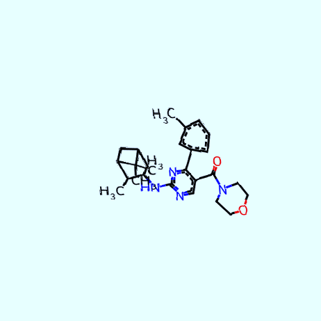 Cc1cccc(-c2nc(NC3CC4CC(C3C)C4(C)C)ncc2C(=O)N2CCOCC2)c1